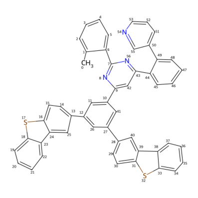 Cc1ccccc1-c1nc(-c2cc(-c3ccc4sc5ccccc5c4c3)cc(-c3ccc4sc5ccccc5c4c3)c2)cc(-c2ccccc2-c2cccnc2)n1